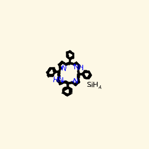 C1=Cc2nc1c(-c1ccccc1)c1ccc([nH]1)c(-c1ccccc1)c1nc(c(-c3ccccc3)c3ccc([nH]3)c2-c2ccccc2)C=C1.[SiH4]